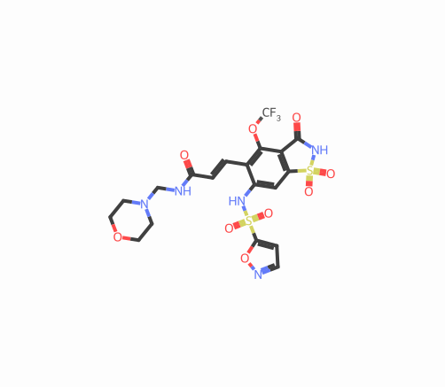 O=C(/C=C/c1c(NS(=O)(=O)c2ccno2)cc2c(c1OC(F)(F)F)C(=O)NS2(=O)=O)NCN1CCOCC1